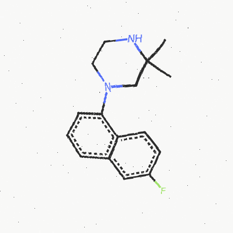 CC1(C)CN(c2cccc3cc(F)ccc23)CCN1